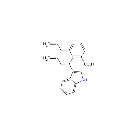 C=CCc1cccc(C(=O)O)c1C(CC=C)c1c[nH]c2ccccc12